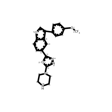 FC(F)(F)Oc1ccc(-c2coc3ccc(-c4nnc(N5CCNCC5)o4)cc23)cc1